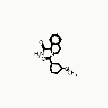 COC1CCCC(C(=O)N2CCc3c[c]ccc3C2C(N)=O)C1